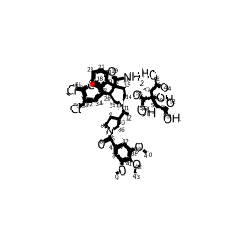 COc1cc(C(=O)N2CCC(C(C)N3CCC(C(N)=O)(c4ccccc4)C(c4ccc(Cl)c(Cl)c4)C3)C2)cc(OC)c1OC.O=C(O)CC(O)(CC(=O)O)C(=O)O